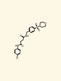 O=C(CCC(=O)Nc1ccc(Cl)cc1)NCc1ccc(S(=O)(=O)N2CCOCC2)cc1